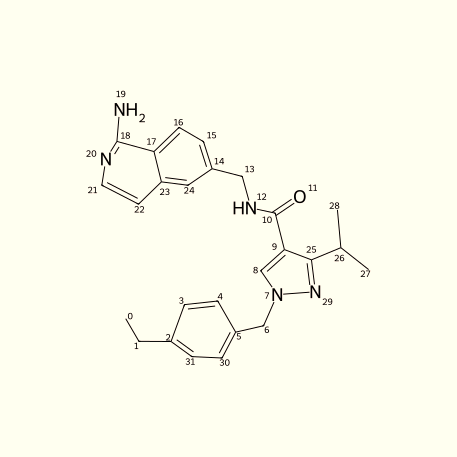 CCc1ccc(Cn2cc(C(=O)NCc3ccc4c(N)nccc4c3)c(C(C)C)n2)cc1